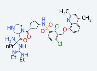 CCC[C@](N)(NC(=NCC)NCC)C(=O)C1CNCCN1C(=O)C1CCC(NS(=O)(=O)c2ccc(Cl)c(COc3cccc4c(C)cc(C)nc34)c2Cl)C1